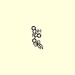 Cc1ccccc1Nc1nnc(-c2ccc(C)c(S(=O)(=O)N3CCN(C)CC3)c2)c2ccccc12